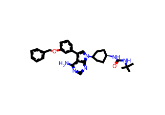 CC(C)(C)NC(=O)N[C@H]1CC[C@@H](n2cc(-c3cccc(OCc4ccccc4)c3)c3c(N)ncnc32)CC1